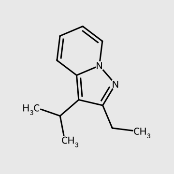 CCc1nn2ccccc2c1C(C)C